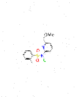 COCc1cccc(N(Cl)S(=O)(=O)c2ccccc2C)n1